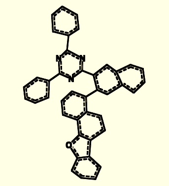 c1ccc(-c2nc(-c3ccccc3)nc(-c3cc4ccccc4cc3-c3cccc4c3ccc3c5ccccc5oc43)n2)cc1